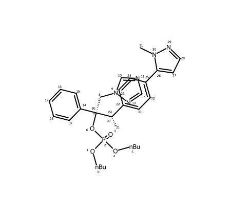 CCCCOP(=O)(OCCCC)O[C@@](Cn1cncn1)(c1ccccc1)[C@@H](C)c1ccc(-c2ccnn2C)cc1